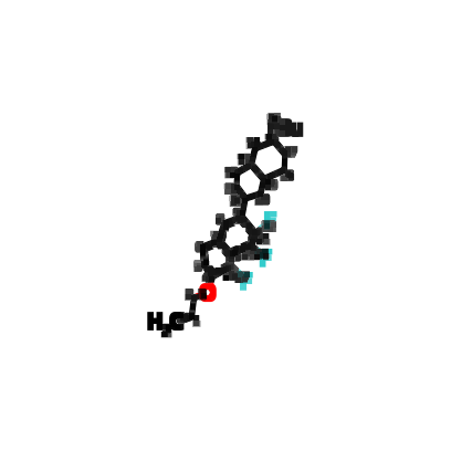 C=CCOc1ccc2cc(C3CCC4CC(CCCC)CCC4C3)c(F)c(F)c2c1F